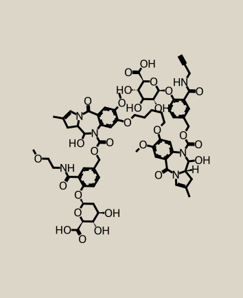 C#CCNC(=O)c1cc(COC(=O)N2c3cc(OCCCCCOc4cc5c(cc4OC)C(=O)N4C=C(C)CC4C(O)N5C(=O)OCc4ccc(O[C@H]5C[C@@H](O)[C@H](O)[C@@H](C(=O)O)O5)c(C(=O)NCCOC)c4)c(OC)cc3C(=O)N3C=C(C)C[C@H]3C2O)ccc1O[C@@H]1O[C@H](C(=O)O)[C@@H](O)C(O)[C@H]1O